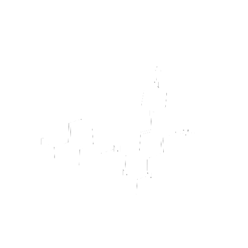 COc1cc2nc(C)nc(NCc3cccc(C(F)F)c3C)c2cc1P1CCN(C(C)=O)CC1